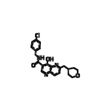 O=C(NCc1ccc(Cl)cc1)c1cnc2ccc(CC3CCOCC3)nc2c1O